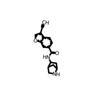 C#Cc1coc2cc(C(=O)NC3CC4CC3CN4)ccc12